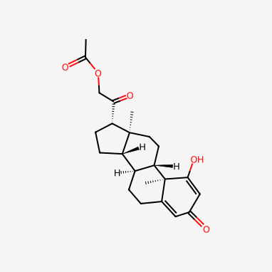 CC(=O)OCC(=O)[C@H]1CC[C@H]2[C@@H]3CCC4=CC(=O)C=C(O)[C@]4(C)[C@H]3CC[C@]12C